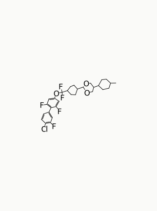 CC1CCC(C2COC(C3CCC(C(F)(F)Oc4cc(F)c(-c5ccc(Cl)c(F)c5)c(F)c4)CC3)OC2)CC1